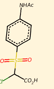 CC(=O)Nc1ccc(S(=O)(=O)C(Cl)C(=O)O)cc1